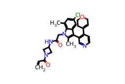 C=CC(=O)N1CC(NC(=O)Cn2c(C)c(-c3cnccc3C3=CCOCC3)c3cc(Cl)cc(C)c32)C1